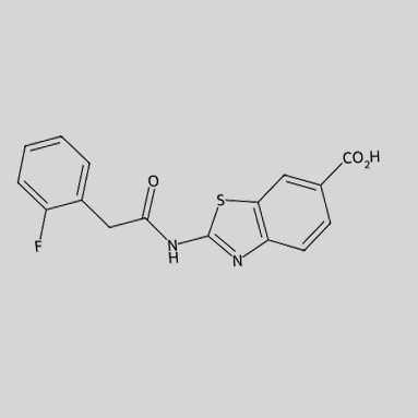 O=C(Cc1ccccc1F)Nc1nc2ccc(C(=O)O)cc2s1